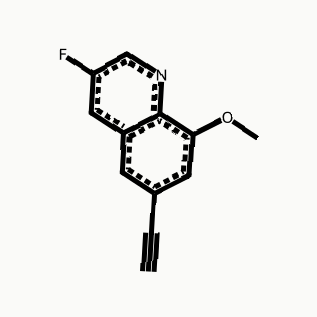 C#Cc1cc(OC)c2ncc(F)cc2c1